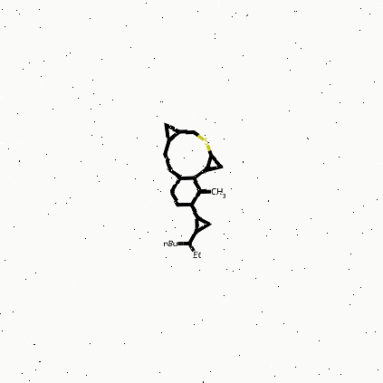 CCCCC(CC)C1CC1C1CCC2CCC3CC3CSC3CC3C2C1C